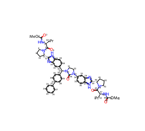 COC(=O)N[C@H](C(=O)N1CCC[C@H]1c1nc2cc(C(c3ccc(-c4ccccc4)cc3)N3CCN(c4ccc5[nH]c([C@@H]6CCCN6C(=O)[C@@H](NC(=O)OC)C(C)C)nc5c4)C3=O)ccc2[nH]1)C(C)C